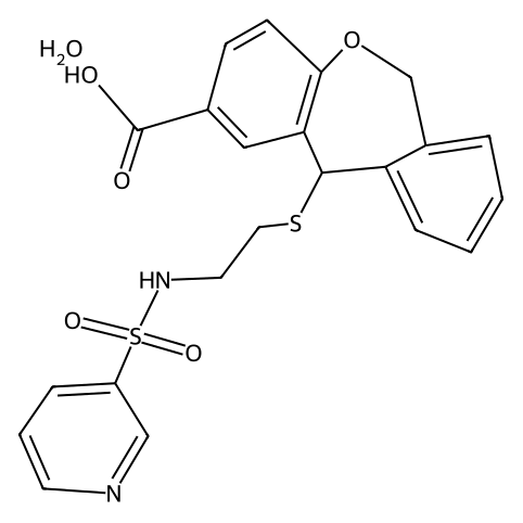 O.O=C(O)c1ccc2c(c1)C(SCCNS(=O)(=O)c1cccnc1)c1ccccc1CO2